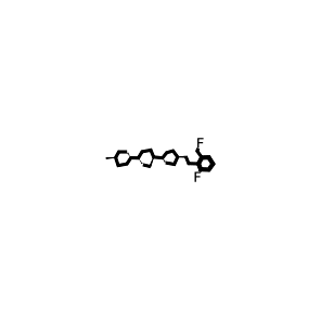 C[C@H]1CC[C@H]([C@H]2CC[C@H]([C@H]3CC[C@H](CCc4c(F)cccc4CF)CC3)CC2)CC1